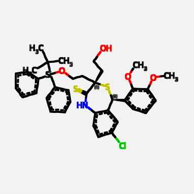 COc1cccc([C@@H]2S[C@@](CCO)(CCO[Si](c3ccccc3)(c3ccccc3)C(C)(C)C)C(=S)Nc3ccc(Cl)cc32)c1OC